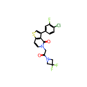 O=C(Cn1ccc2scc(-c3ccc(Cl)c(F)c3)c2c1=O)N1CC(F)(F)C1